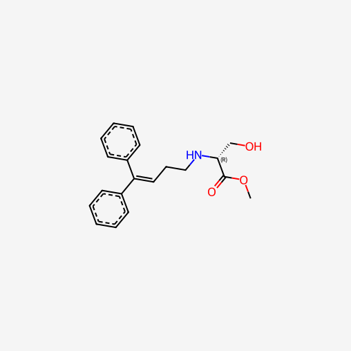 COC(=O)[C@@H](CO)NCCC=C(c1ccccc1)c1ccccc1